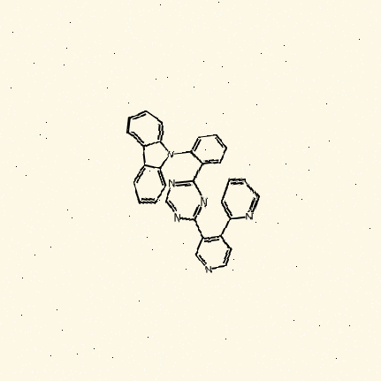 c1ccc(-c2ccncc2-c2ncnc(-c3ccccc3-n3c4ccccc4c4ccccc43)n2)nc1